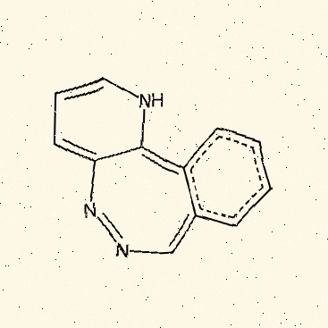 C1=CNC2=c3ccccc3=CN=NC2=C1